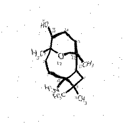 CC12CCC3(N)C(CC3(C)C)C(C)(CCC1O)O2